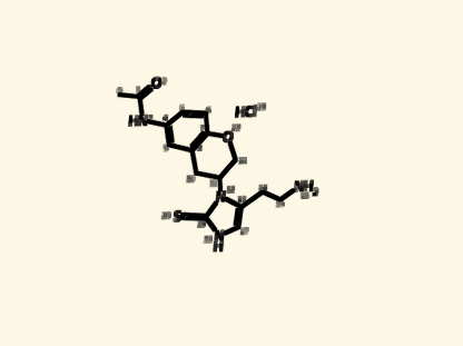 CC(=O)Nc1ccc2c(c1)CC(n1c(CCN)c[nH]c1=S)CO2.Cl